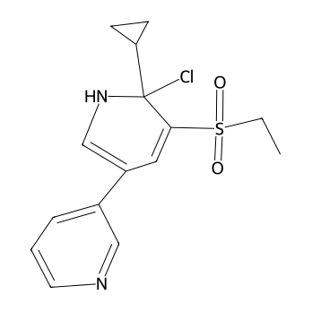 CCS(=O)(=O)C1=CC(c2cccnc2)=CNC1(Cl)C1CC1